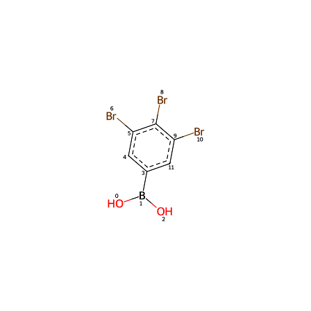 OB(O)c1cc(Br)c(Br)c(Br)c1